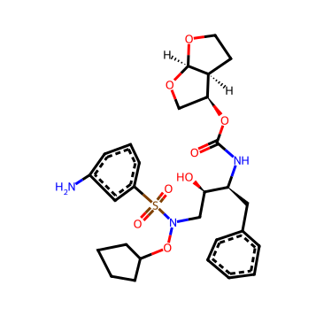 Nc1cccc(S(=O)(=O)N(C[C@@H](O)[C@H](Cc2ccccc2)NC(=O)O[C@H]2CO[C@H]3OCC[C@H]32)OC2CCCC2)c1